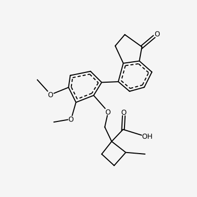 COc1ccc(-c2cccc3c2CCC3=O)c(OCC2(C(=O)O)CCC2C)c1OC